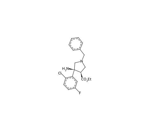 CCOC(=O)[C@@H]1CN(Cc2ccccc2)C[C@@]1(N)c1cc(F)ccc1Cl